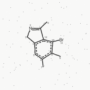 CC1=NCc2cc(C)c(C)c(Br)c21